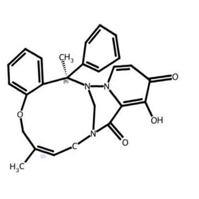 C/C1=C/CN2CN(n3ccc(=O)c(O)c3C2=O)[C@](C)(c2ccccc2)c2ccccc2OC1